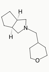 C1C[C@@H]2CN(CC3CCOCC3)C[C@@H]2C1